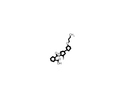 CCCCOc1cccc(-c2ccc(NC(=O)c3ccccc3C(=O)O)c(F)c2)c1